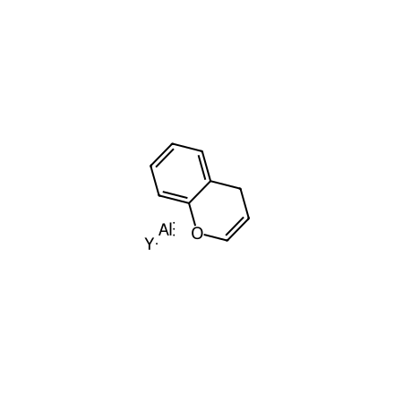 C1=COc2ccccc2C1.[Al].[Y]